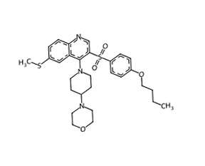 CCCCOc1ccc(S(=O)(=O)c2cnc3ccc(SC)cc3c2N2CCC(N3CCOCC3)CC2)cc1